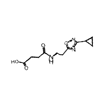 O=C(O)CCC(=O)NCCc1nc(C2CC2)no1